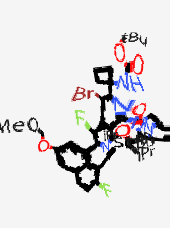 COCOc1cc(-c2ncc3c(N4CC5CCC(C4)N5C(=O)OC(C)(C)C)nc(C4(NC(=O)OC(C)(C)C)CCC4)c(Br)c3c2F)c2c(C#C[Si](C(C)C)(C(C)C)C(C)C)c(F)ccc2c1